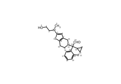 CN(CCO)c1cc2c(s1)CCN(C(C=O)(c1ccccc1F)C1CC1)C2